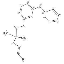 CC(C)(CC=CBr)OCc1cccc(Oc2ccccc2)c1